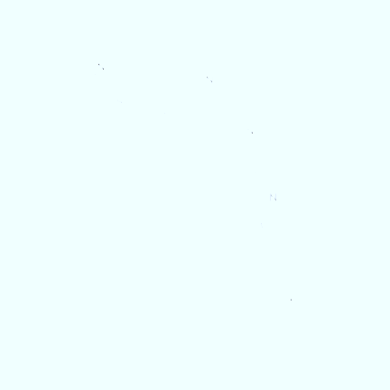 NC(=O)c1ccnc(-c2ccc(NC(=O)CC3CCCCN3)cn2)c1